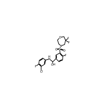 O=S(=O)(c1cc(C(O)Nc2ccc(F)c(Cl)c2)ccc1F)N1CCOCC(F)(F)C1